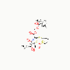 CC(O)[C@H]1C(=O)N2C(C(=O)OCOC(=O)C(C)(C)C)=C(SC3CCC[S+]3[O-])S[C@H]12